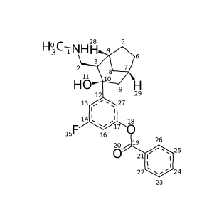 CNC[C@H]1[C@@H]2CC[C@@H](C2)C[C@]1(O)c1cc(F)cc(OC(=O)c2ccccc2)c1